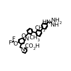 Cc1c(-c2ccc(NC(=N)N)cc2)cccc1-c1cccc(-c2nc3cc(CN4CCC[C@H]4C(=O)O)c(OC(F)F)cc3o2)c1C